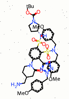 COc1ccc(CN(Cc2ccc(OC)cc2)S(=O)(=O)c2c(S(=O)(=O)N[C@@H]3CCN(C(=O)OC(C)(C)C)C3)ccc(N3CCC(CN)CC3=O)c2-c2nnn(Cc3ccc(OC)cc3)n2)cc1